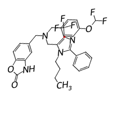 CCCCn1c(-c2ccccc2)nc(C(F)(F)F)c1CN(Cc1ccc(OC(F)F)cc1)Cc1ccc2oc(=O)[nH]c2c1